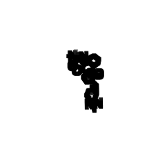 COC(=O)c1cccc2[nH]c(C(=O)N(C)C)c(C(=O)c3ccc(Cn4ccc5nc(C)nc-5c4)cc3)c12